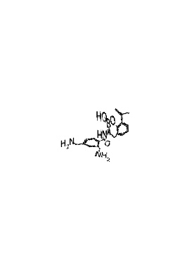 C=C(C)c1cccc2c1OB(O)[C@@H](NC(=O)c1ccc(CN)cc1CN)C2